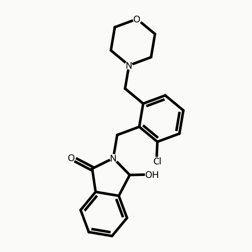 O=C1c2ccccc2C(O)N1Cc1c(Cl)cccc1CN1CCOCC1